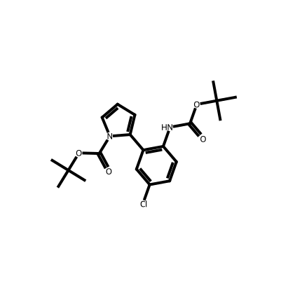 CC(C)(C)OC(=O)Nc1ccc(Cl)cc1-c1cccn1C(=O)OC(C)(C)C